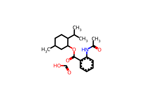 CC(=O)Nc1ccccc1C(=O)OC1CC(C)CCC1C(C)C.O=CO